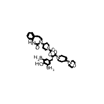 Bc1cc(C[C@@H](OC(=O)N2CCC(N3CCc4ccccc4NC3=O)CC2)C(=O)N2CCC(N3CCOCC3)CC2)cc(B)c1O